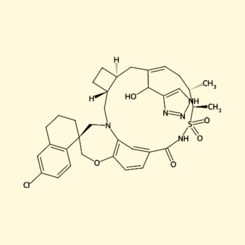 C[C@@H]1[C@@H](C)C/C=C(\C(O)c2c[nH]nn2)C[C@@H]2CC[C@H]2CN2C[C@@]3(CCCc4cc(Cl)ccc43)COc3ccc(cc32)C(=O)NS1(=O)=O